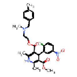 COC(=O)C1=C(C)NC(C)=C(C(=O)OCCN(C)Cc2ccc(C)cc2)C1c1cc([N+](=O)[O-])ccc1Cl